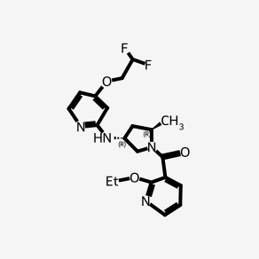 CCOc1ncccc1C(=O)N1C[C@H](Nc2cc(OCC(F)F)ccn2)C[C@H]1C